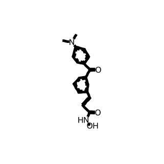 CN(C)c1ccc(C(=O)c2cccc(C=CC(=O)NO)c2)cc1